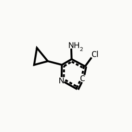 Nc1c(Cl)ccnc1C1CC1